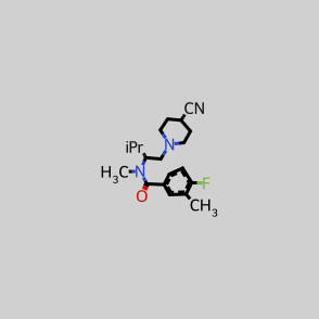 Cc1cc(C(=O)N(C)C(CN2CCC(C#N)CC2)C(C)C)ccc1F